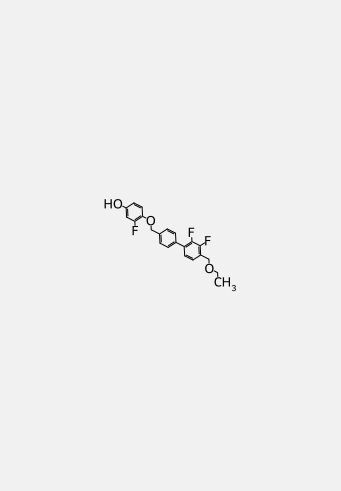 CCOCc1ccc(-c2ccc(COc3ccc(O)cc3F)cc2)c(F)c1F